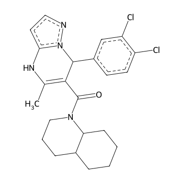 CC1=C(C(=O)N2CCCC3CCCCC32)C(c2ccc(Cl)c(Cl)c2)n2nccc2N1